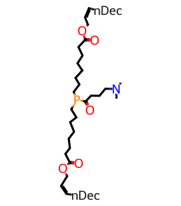 CCCCCCCCCC/C=C\COC(=O)CCCCCCCP(CCCCCCCC(=O)OC/C=C\CCCCCCCCCC)C(=O)CCCN(C)C